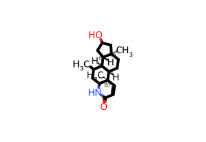 CC1CC2NC(=O)C=C[C@]2(C)[C@@H]2CC[C@]3(C)CC(O)C[C@H]3[C@H]12